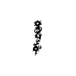 Fc1ccc(OCCCN2CCN(C3=COC(C4=CC=CCC4)=CO3)CC2)c(Br)c1